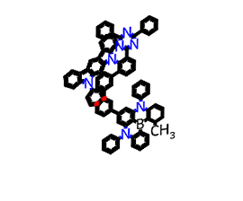 CC1CC=CC2=C1B1c3ccccc3N(c3ccccc3)c3cc(-c4cccc(-c5cccc(-c6cccc(-c7nc(-c8ccccc8)nc(-c8ccccc8)n7)c6-n6c7ccccc7c7cc8c9ccccc9n(-c9ccccc9)c8cc76)c5)c4)cc(c31)N2c1ccccc1